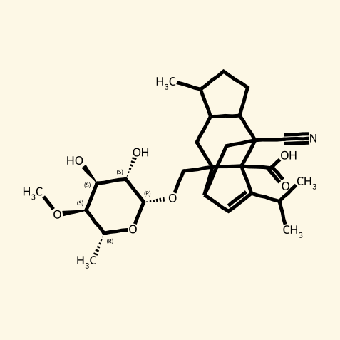 CO[C@H]1[C@@H](O)[C@H](O)[C@H](OCC23CC4C(C)CCC4C4(C#N)CC2C=C(C(C)C)C43C(=O)O)O[C@@H]1C